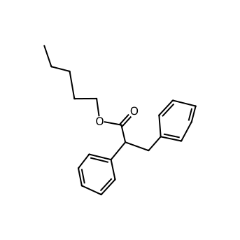 CCCCCOC(=O)C(Cc1ccccc1)c1ccccc1